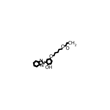 C=CC(=O)OCCCCCOc1ccc(O)c(-n2nc3ccccc3n2)c1